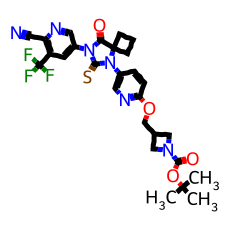 CC(C)(C)OC(=O)N1CC(COc2ccc(N3C(=S)N(c4cnc(C#N)c(C(F)(F)F)c4)C(=O)C34CCC4)cn2)C1